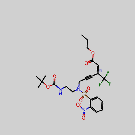 CCCOC(=O)/C=C(\C#CCN(CCNC(=O)OC(C)(C)C)S(=O)(=O)c1ccccc1[N+](=O)[O-])C(F)(F)F